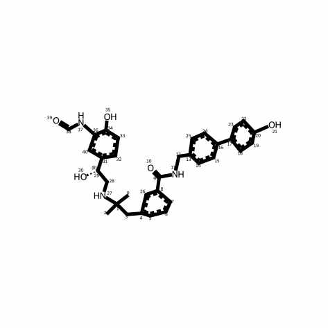 CC(C)(Cc1cccc(C(=O)NCc2ccc(-c3ccc(O)cc3)cc2)c1)NC[C@H](O)c1ccc(O)c(NC=O)c1